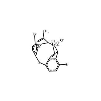 CC1=Cc2c3ccc(Br)c2[CH]1[Zr+2][CH]1C(C)=Cc2c(ccc(Br)c21)S3.[Cl-].[Cl-]